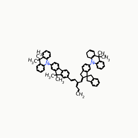 C=C/C=C(/C=C/c1ccc2c(c1)C(C)(C)c1cc(N3c4ccccc4C(C)(C)c4ccccc43)ccc1-2)\C=C1/Cc2ccc(N3C4=C(C=CCC4)C(C)(C)c4ccccc43)cc2C12Cc1ccccc1C2